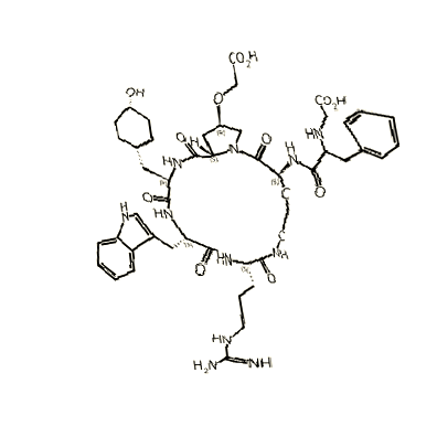 N=C(N)NCCC[C@@H]1NC(=O)[C@H](Cc2c[nH]c3ccccc23)NC(=O)[C@@H](C[C@H]2CC[C@@H](O)CC2)NC(=O)[C@@H]2C[C@@H](OCC(=O)O)CN2C(=O)[C@@H](NC(=O)C(Cc2ccccc2)NCC(=O)O)CCCNC1=O